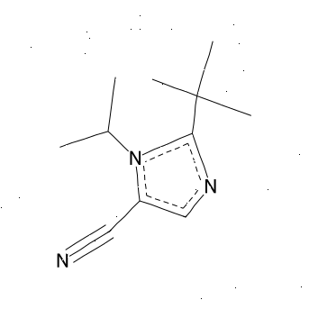 CC(C)n1c(C#N)cnc1C(C)(C)C